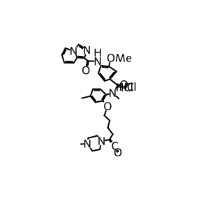 COc1cc(C(=O)N(C)c2ccc(C)cc2OCCCCC(=C=O)N2CCN(C)CC2)ccc1NC(=O)c1ncn2ccccc12.Cl.Cl